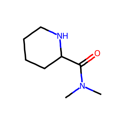 CN(C)C(=O)C1CCCCN1